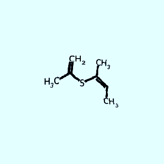 C=C(C)S/C(C)=C\C